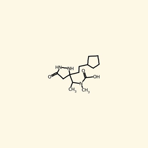 CC(N(C)C(=O)O)C1(CCC2CCCC2)CC(=O)NN1